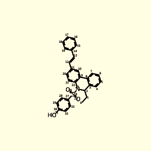 CCC1c2ccccc2-c2cc(C=Cc3ccccc3)ccc2N1S(=O)(=O)c1ccc(O)cc1